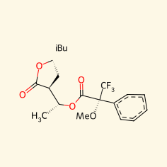 CC[C@H](C)[C@@H]1C[C@@H]([C@@H](C)OC(=O)[C@](OC)(c2ccccc2)C(F)(F)F)C(=O)O1